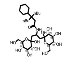 CCCCC(CCCC)(CC(=O)NC(CC1(O)O[C@H](CO)[C@@H](O)[C@H](O)[C@H]1O)CC1(O)O[C@H](CO)[C@@H](O)[C@H](O)[C@H]1O)C1CCCCC1